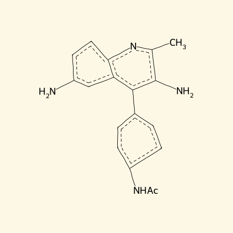 CC(=O)Nc1ccc(-c2c(N)c(C)nc3ccc(N)cc23)cc1